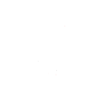 O=C(O)c1cc2c3cccc4c(C(=O)O)ccc(c5ccc(C(=O)O)c(c1C(=O)O)c52)c43